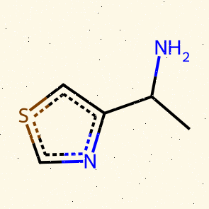 CC(N)c1cscn1